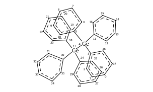 c1cc[c]([Ge]([c]2ccccc2)([c]2ccccc2)[Ge]([c]2ccccc2)([c]2ccccc2)[c]2ccccc2)cc1